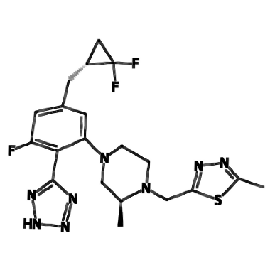 Cc1nnc(CN2CCN(c3cc(C[C@@H]4CC4(F)F)cc(F)c3-c3nn[nH]n3)C[C@@H]2C)s1